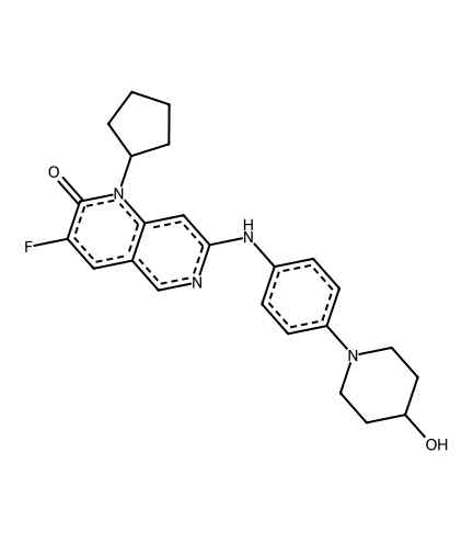 O=c1c(F)cc2cnc(Nc3ccc(N4CCC(O)CC4)cc3)cc2n1C1CCCC1